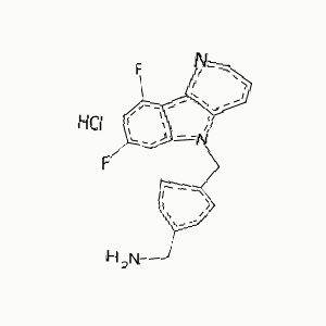 Cl.NCc1ccc(Cn2c3cccnc3c3c(F)cc(F)cc32)cc1